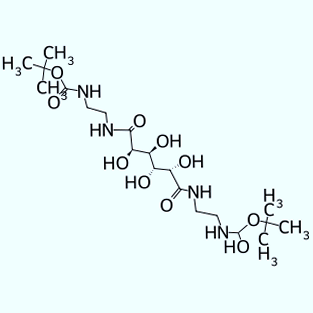 CC(C)(C)OC(=O)NCCNC(=O)[C@H](O)[C@@H](O)[C@@H](O)[C@H](O)C(=O)NCCNC(O)OC(C)(C)C